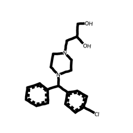 OCC(O)CN1CCN(C(c2ccccc2)c2ccc(Cl)cc2)CC1